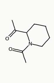 CC(=O)C1CCCCN1C(C)=O